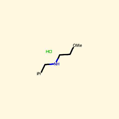 COCCNCC(C)C.Cl